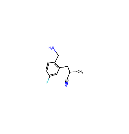 CC(C#N)Cc1cc(F)ccc1CN